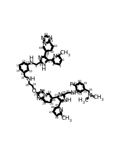 Cc1cccc(-c2[nH]c(CNc3cccc(CNCCOc4nc5ccc(-c6nc(CNc7cc(CN(C)C)ccc7F)[nH]c6-c6cccc(C)n6)cn5n4)c3)nc2-c2ccc3ncnn3c2)n1